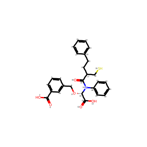 O=C(O)c1cccc(CO[C@@H](C(=O)O)N(C(=O)C(CS)CCc2ccccc2)c2ccccc2)c1